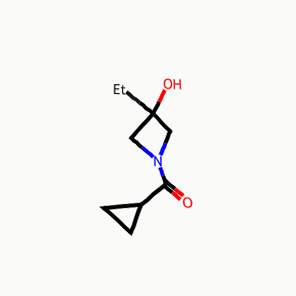 CCC1(O)CN(C(=O)C2CC2)C1